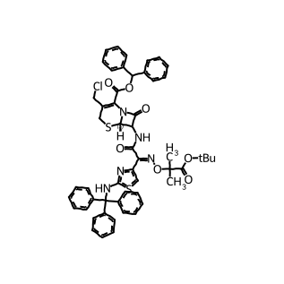 CC(C)(C)OC(=O)C(C)(C)ON=C(C(=O)NC1C(=O)N2C(C(=O)OC(c3ccccc3)c3ccccc3)=C(CCl)CS[C@@H]12)c1csc(NC(c2ccccc2)(c2ccccc2)c2ccccc2)n1